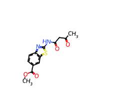 COC(=O)c1ccc2nc(NC(=O)CC(C)=O)sc2c1